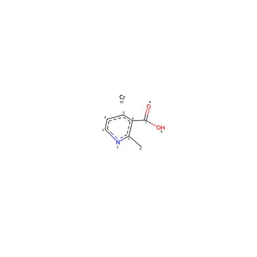 Cc1ncccc1C(=O)O.[Cr]